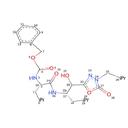 CC(C)C[C@H](NC(=O)OCc1ccccc1)C(=O)N[C@@H](CC(C)C)C(O)c1nn(CC(C)C)c(=O)o1